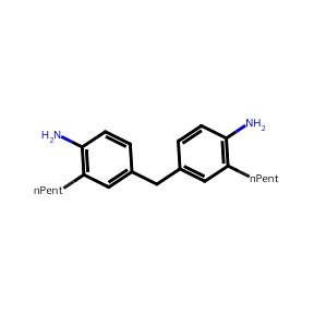 CCCCCc1cc(Cc2ccc(N)c(CCCCC)c2)ccc1N